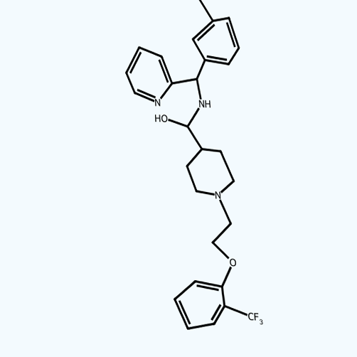 COc1cccc(C(NC(O)C2CCN(CCOc3ccccc3C(F)(F)F)CC2)c2ccccn2)c1